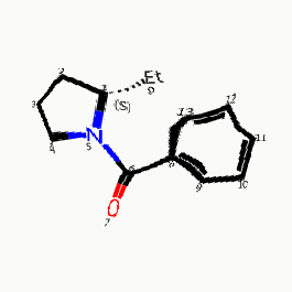 CC[C@H]1CCCN1C(=O)c1ccccc1